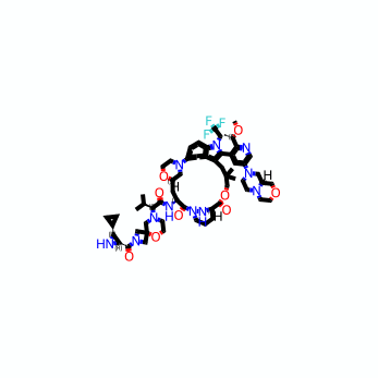 CO[C@@H](C)c1ncc(N2CCN3CCOC[C@@H]3C2)cc1-c1c2c3cc(ccc3n1CC(F)(F)F)N1CCO[C@@H](C[C@H](NC(=O)[C@H](C(C)C)N3CCOC4(CN(C(=O)[C@@H]5N[C@@H]5C5CC5)C4)C3)C(=O)N3CCC[C@H](N3)C(=O)OCC(C)(C)C2)C1